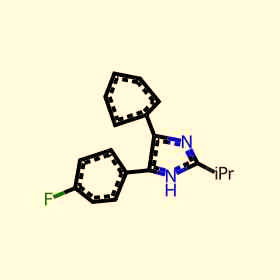 CC(C)c1nc(-c2ccccc2)c(-c2ccc(F)cc2)[nH]1